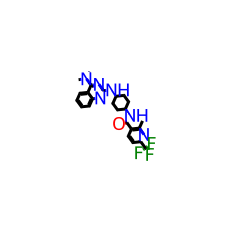 Cc1nc(C(F)(F)F)ccc1C(=O)N[C@H]1CC[C@@H](Nc2nc(N(C)C)c3ccccc3n2)CC1